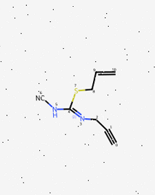 C#CC/N=C(/NC#N)SCC=C